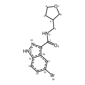 O=C(NCC1CCOC1)c1n[nH]c2ccc(Br)cc12